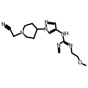 C=N/C(=N\CCOC)Nc1cnn(C2CCN(CC#N)CC2)c1